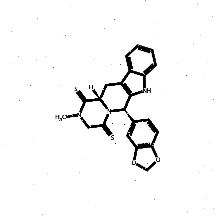 CN1CC(=S)N2[C@H](c3ccc4c(c3)OCO4)c3[nH]c4ccccc4c3C[C@H]2C1=S